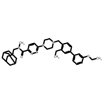 CCOc1cccc(-c2ccc(CN3CCN(c4ccc(C(=O)N(C)CC56CC7CC(CC(C7)C5)C6)nn4)CC3)c(CC)c2)c1